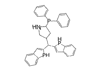 c1ccc(P(c2ccccc2)C2CC(C(c3cc4ccccc4[pH]3)c3cc4ccccc4[pH]3)CN2)cc1